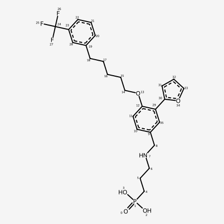 O=P(O)(O)CCCNCc1ccc(OCCCCCc2cccc(C(F)(F)F)c2)c(-c2ccco2)c1